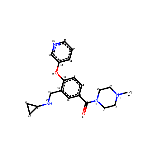 CC(C)N1CCN(C(=O)c2ccc(Oc3cccnc3)c(CNC3CC3)c2)CC1